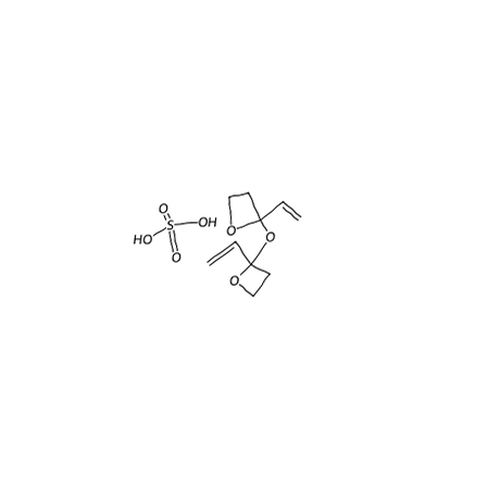 C=CC1(OC2(C=C)CCO2)CCO1.O=S(=O)(O)O